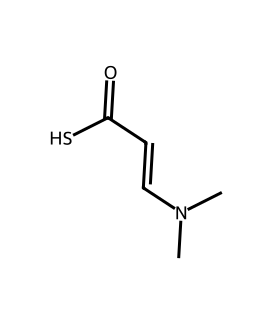 CN(C)/C=C/C(=O)S